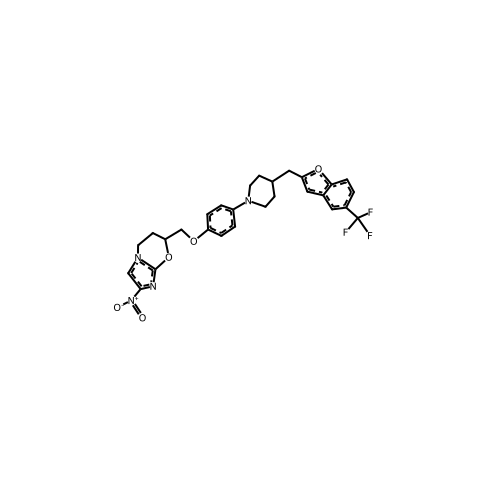 O=[N+]([O-])c1cn2c(n1)OC(COc1ccc(N3CCC(Cc4cc5cc(C(F)(F)F)ccc5o4)CC3)cc1)CC2